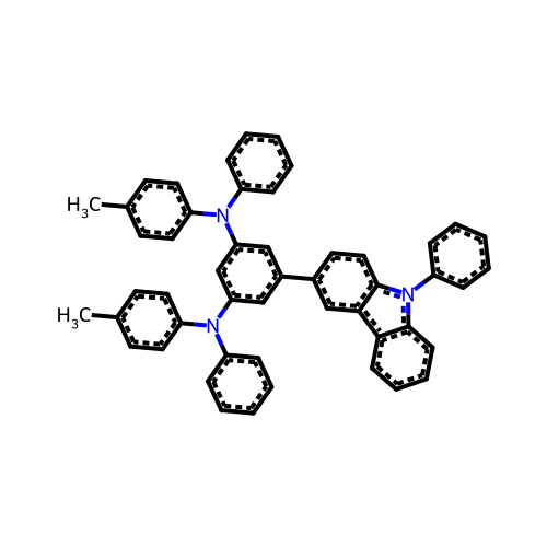 Cc1ccc(N(c2ccccc2)c2cc(-c3ccc4c(c3)c3ccccc3n4-c3ccccc3)cc(N(c3ccccc3)c3ccc(C)cc3)c2)cc1